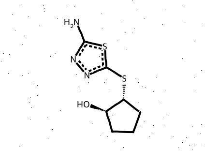 Nc1nnc(S[C@@H]2CCC[C@H]2O)s1